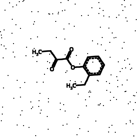 CCC(=O)C(=O)Oc1ccccc1CC